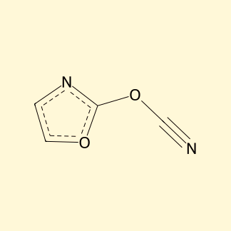 N#COc1ncco1